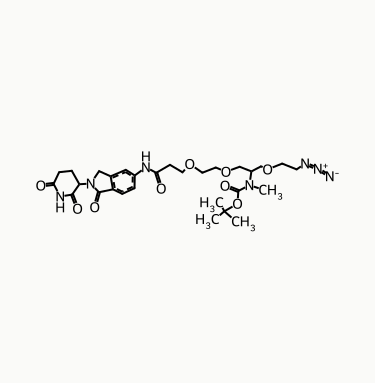 CN(C(=O)OC(C)(C)C)C(COCCN=[N+]=[N-])COCCOCCC(=O)Nc1ccc2c(c1)CN(C1CCC(=O)NC1=O)C2=O